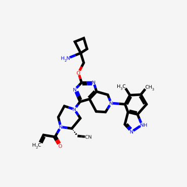 C=CC(=O)N1CCN(c2nc(OCC3(N)CCC3)nc3c2CCN(c2c(C)c(C)cc4[nH]ncc24)C3)C[C@@H]1CC#N